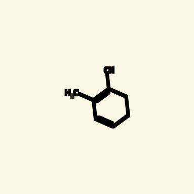 CC1=C(C#N)CCC=C1